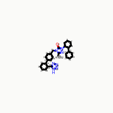 CCCCc1nn(-c2ccccc2-c2ccccc2)c(=O)n1Cc1ccc(-c2ccccc2-c2nnn[nH]2)cc1